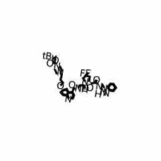 CC(C)(C)OC(=O)N1CCN(CCCOc2ccc3nccc(C(=O)NCC(=O)N4CC(F)(F)C[C@H]4C(=O)C(=O)NCn4nnc5ccccc54)c3c2)CC1